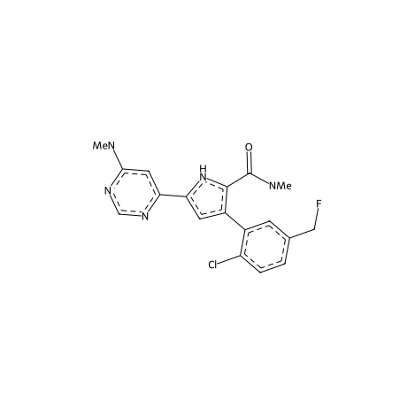 CNC(=O)c1[nH]c(-c2cc(NC)ncn2)cc1-c1cc(CF)ccc1Cl